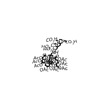 CC(=O)OCC(OC(C)=O)C(OC(C)=O)C(OC(C)=O)C(CONCC(CNOCCCC1CN(CC(=O)O)CCN(CC(=O)O)C1N(CC(=O)O)CC(=O)O)(CNC(=O)C(OC(C)=O)C(OC(C)=O)C(OC(C)=O)C(COC(C)=O)OC(C)=O)CNC(=O)C(OC(C)=O)C(OC(C)=O)C(OC(C)=O)C(COC(C)=O)OC(C)=O)OC(C)=O